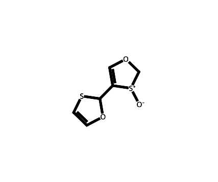 [O-][S+]1COC=C1C1OC=CS1